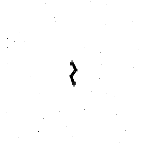 CC[C]CCC